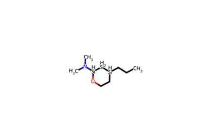 CCC[SiH]1CCO[SiH](N(C)C)[SiH2]1